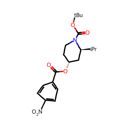 CC(C)[C@H]1C[C@H](OC(=O)c2ccc([N+](=O)[O-])cc2)CCN1C(=O)OC(C)(C)C